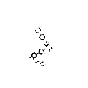 CC(COC(C)(C)C)Oc1nn([C@H]2CC[C@H](N3C[C@@H](C)O[C@@H](C)C3)CC2)cc1Nc1ncc(-c2ccc(Cl)c(O[C@@H](C)Cn3cnnn3)c2)cn1